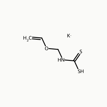 C=COCNC(=S)S.[K]